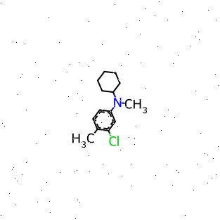 Cc1ccc(N(C)C2CCCCC2)cc1Cl